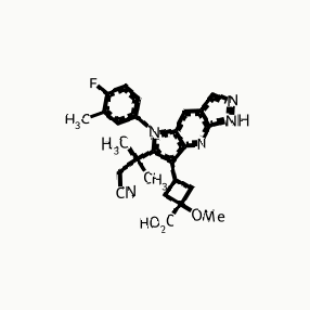 COC1(C(=O)O)CC(c2c(C(C)(C)CC#N)n(-c3ccc(F)c(C)c3)c3cc4cn[nH]c4nc23)C1